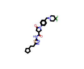 O=C(Nc1nnc(CCC2CCCC2)s1)C1CC(=O)N(c2ccc(CN3CCC(F)(F)CC3)cc2)C1